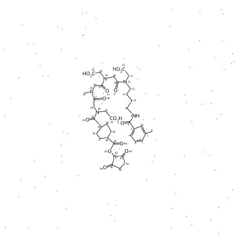 Cc1cccc(C(=O)NCCCCN(CC(=O)O)C(=O)CN(CC(=O)O)C(=O)CN(C)C(=O)CN(CC(=O)O)C(=O)C2CCC(C(=O)ON3C(=O)CCC3=O)CC2)c1